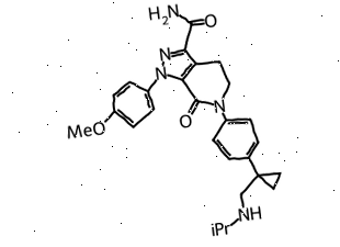 COc1ccc(-n2nc(C(N)=O)c3c2C(=O)N(c2ccc(C4(CNC(C)C)CC4)cc2)CC3)cc1